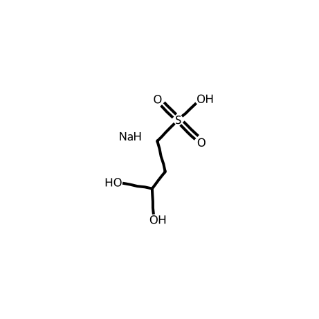 O=S(=O)(O)CCC(O)O.[NaH]